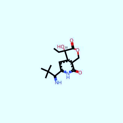 CC[C@@]1(O)C(=O)OCc2c1cc(C(=N)C(C)(C)C)[nH]c2=O